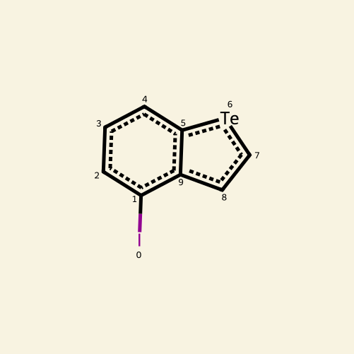 Ic1cccc2[te]ccc12